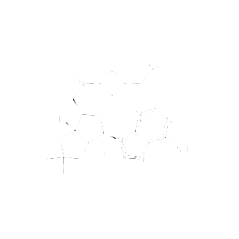 CN(C[C@H]1O[C@@H](n2cnc3c(N)ncnc32)[C@H]2OC(C)(C)O[C@@H]21)C1CC(CN)C1